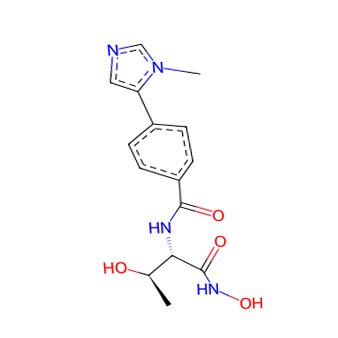 C[C@@H](O)[C@H](NC(=O)c1ccc(-c2cncn2C)cc1)C(=O)NO